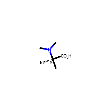 CC[C@@](C)(C(=O)O)N(C)C